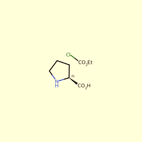 CCOC(=O)Cl.O=C(O)[C@@H]1CCCN1